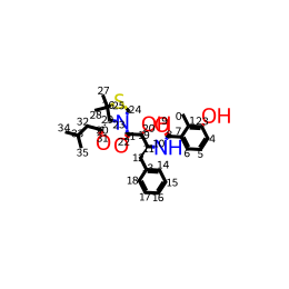 Cc1c(O)cccc1C(=O)N[C@@H](Cc1ccccc1)[C@H](O)C(=O)N1CSC(C)(C)[C@H]1C(=O)CC(C)C